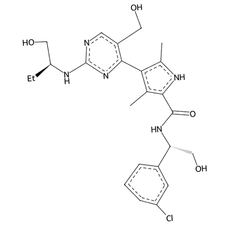 CC[C@@H](CO)Nc1ncc(CO)c(-c2c(C)[nH]c(C(=O)N[C@H](CO)c3cccc(Cl)c3)c2C)n1